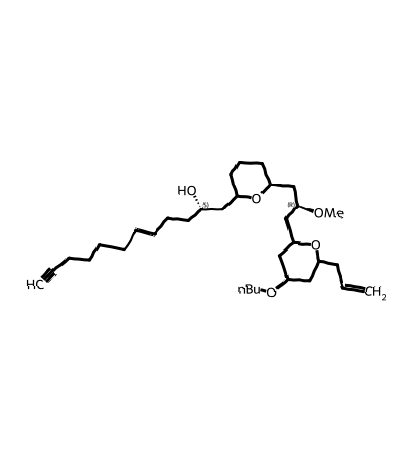 C#CCCCCCCCC[C@H](O)CC1CCCC(C[C@H](CC2CC(OCCCC)CC(CC=C)O2)OC)O1